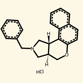 Cl.c1ccc(CN2C[C@@H]3COc4ccc5ccccc5c4[C@H]3C2)cc1